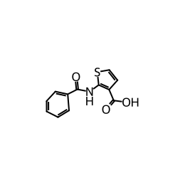 O=C(Nc1sccc1C(=O)O)c1ccccc1